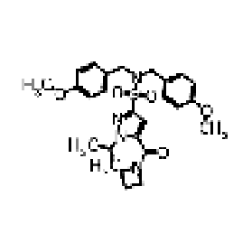 COc1ccc(CN(Cc2ccc(OC)cc2)S(=O)(=O)c2cc(C(=O)N3CCC3)n(C(C)C)n2)cc1